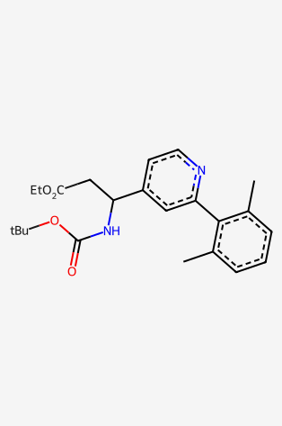 CCOC(=O)CC(NC(=O)OC(C)(C)C)c1ccnc(-c2c(C)cccc2C)c1